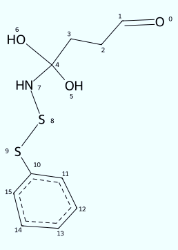 O=CCCC(O)(O)NSSc1ccccc1